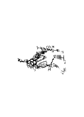 CN(CCCNC(CCCCN)C(=O)O)S(=O)(=O)c1cc(S(=O)(=O)N(C)CCCNC(CCCCN)C(=O)O)c2ccc3c(OCCC[N+](C)(C)C)cc(N)c4ccc1c2c43